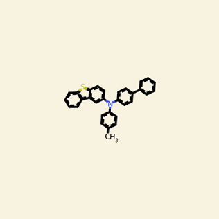 Cc1ccc(N(c2ccc(-c3ccccc3)cc2)c2ccc3sc4ccccc4c3c2)cc1